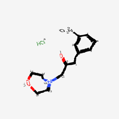 Cl.O=C(Cc1cccc([N+](=O)[O-])c1)CN1CCOCC1